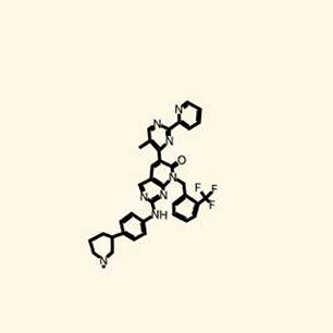 Cc1cnc(-c2ccccn2)nc1-c1cc2cnc(Nc3ccc(C4CCCN(C)C4)cc3)nc2n(Cc2ccccc2C(F)(F)F)c1=O